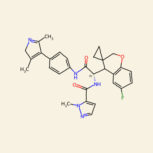 CC1=NCC(C)=C1c1ccc(NC(=O)[C@@H](NC(=O)c2ccnn2C)C2c3cc(F)ccc3OCC23CC3)cc1